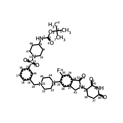 CC(C)(C)OC(=O)NC1CCN(S(=O)(=O)c2cccc(CN3CCN(c4cc5c(cc4F)C(=O)N(C4CCC(=O)NC4=O)C5)CC3)c2)CC1